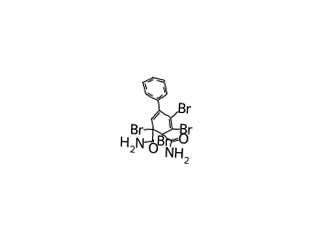 NC(=O)C1(Br)C=C(c2ccccc2)C(Br)=C(Br)C1(Br)C(N)=O